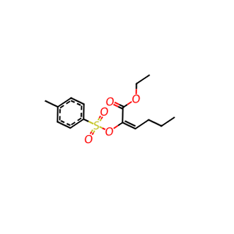 CCC/C=C(/OS(=O)(=O)c1ccc(C)cc1)C(=O)OCC